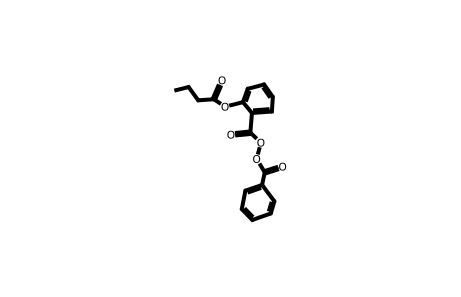 CCCC(=O)Oc1ccccc1C(=O)OOC(=O)c1ccccc1